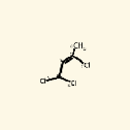 CC(Cl)=CC(Cl)Cl